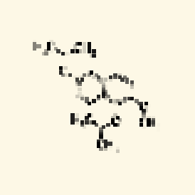 COc1ccc2cc(OC(C)C)ccc2c1OC(C)C